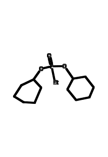 CCP(=O)(OC1CCCCC1)OC1CCCCC1